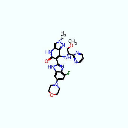 COCC(Nc1c(-c2nc3c(F)cc(N4CCOCC4)cc3[nH]2)c(=O)[nH]c2cn(C)nc12)c1ncccn1